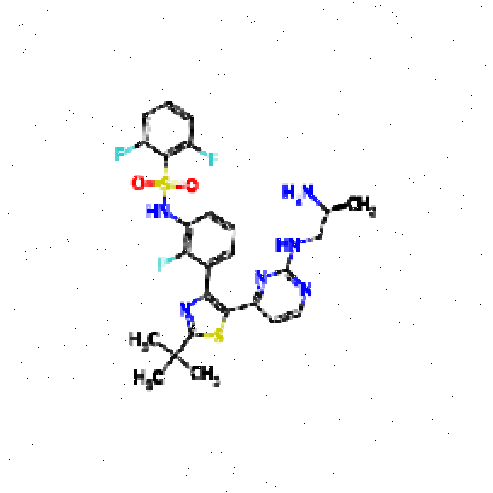 C[C@H](N)CNc1nccc(-c2sc(C(C)(C)C)nc2-c2cccc(NS(=O)(=O)c3c(F)cccc3F)c2F)n1